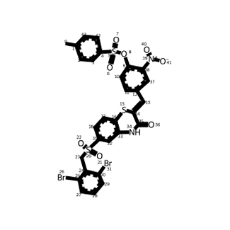 Cc1ccc(S(=O)(=O)Oc2ccc(C=C3Sc4ccc(S(=O)(=O)Cc5c(Br)cccc5Br)cc4NC3=O)cc2[N+](=O)[O-])cc1